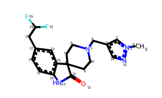 Cn1cc(CN2CCC3(CC2)C(=O)Nc2ccc(CC(F)F)cc23)cn1